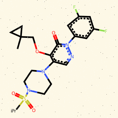 CC(C)S(=O)(=O)N1CCN(c2cnn(-c3cc(F)cc(F)c3)c(=O)c2OCC2(C)CC2)CC1